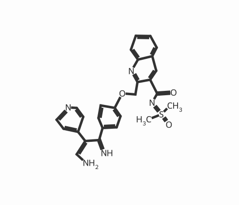 CS(C)(=O)=NC(=O)c1cc2ccccc2nc1COc1ccc(C(=N)/C(=C\N)c2ccncc2)cc1